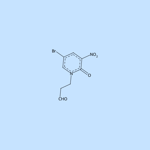 O=CCCn1cc(Br)cc([N+](=O)[O-])c1=O